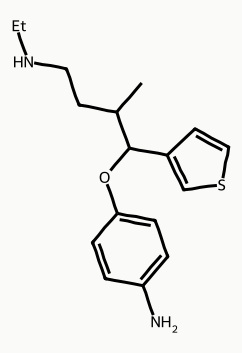 CCNCCC(C)C(Oc1ccc(N)cc1)c1ccsc1